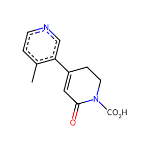 Cc1ccncc1C1=CC(=O)N(C(=O)O)CC1